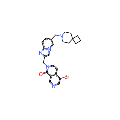 O=c1c2cncc(Br)c2ccn1Cc1cn2cc(CN3CCC4(CCC4)CC3)ccc2n1